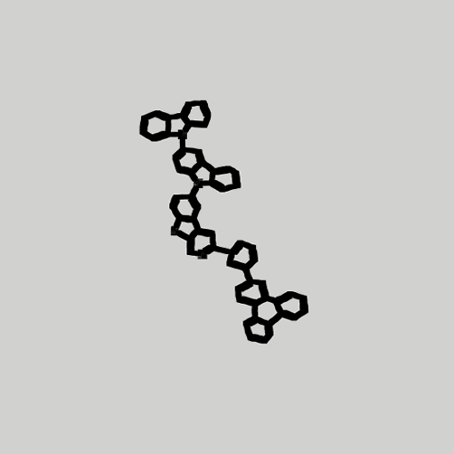 c1cc(-c2ccc3c4ccccc4c4ccccc4c3c2)cc(-c2cc3c(cn2)sc2ccc(-n4c5ccccc5c5cc(-n6c7ccccc7c7ccccc76)ccc54)cc23)c1